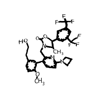 COc1ccc(CCO)cc1-c1ccc(N2CCC2)nc1CN1C(=O)OC(c2cc(C(F)(F)F)cc(C(F)(F)F)c2)C1C